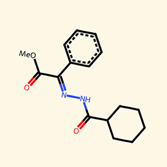 COC(=O)C(=NNC(=O)C1CCCCC1)c1ccccc1